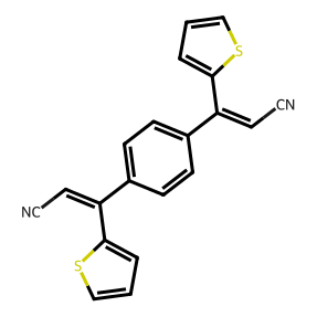 N#CC=C(c1ccc(C(=CC#N)c2cccs2)cc1)c1cccs1